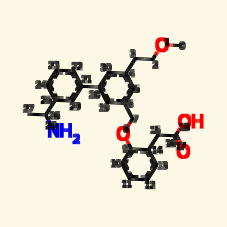 COCCc1cc(COc2ccccc2CC(=O)O)cc(-c2cccc(C(C)N)c2)c1